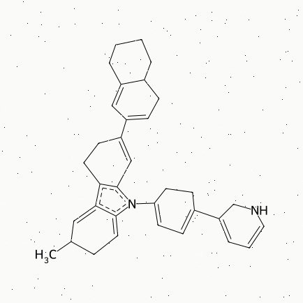 CC1C=c2c3c(n(C4=CC=C(C5=CC=CNC5)CC4)c2=CC1)C=C(C1=CCC2CCCCC2=C1)CC3